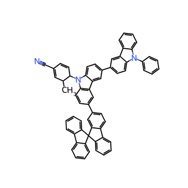 CC1C=C(C#N)C=CC1n1c2ccc(-c3ccc4c(c3)C3(c5ccccc5-c5ccccc53)c3ccccc3-4)cc2c2cc(-c3ccc4c(c3)c3ccccc3n4-c3ccccc3)ccc21